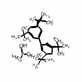 CC(C)(C)c1cc(-c2cc(C(C)(C)C)cc(C(C)(C)C)c2)cc(C(C)(C)C)c1.OP(O)O